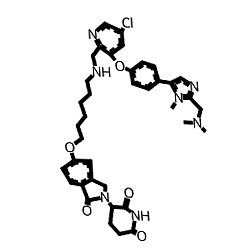 CN(C)Cc1ncc(-c2ccc(Oc3cc(Cl)cnc3CNCCCCCCOc3ccc4c(c3)CN(C3CCC(=O)NC3=O)C4=O)cc2)n1C